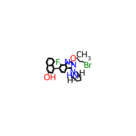 CC(CCBr)Oc1nc(N2C[C@H]3CC[C@@H](C2)N3)c2ccc(-c3cc(O)cc4ccccc34)c(F)c2n1